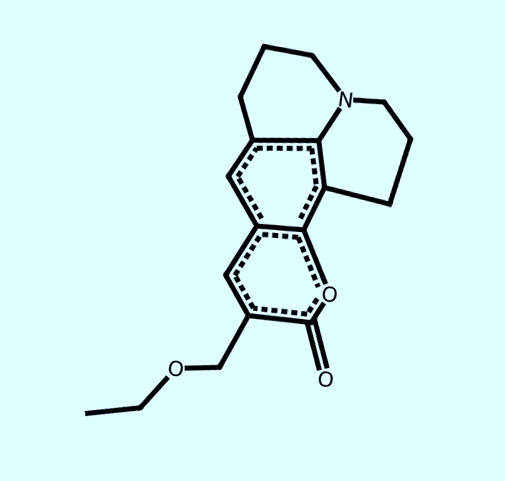 CCOCc1cc2cc3c4c(c2oc1=O)CCCN4CCC3